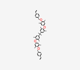 C=Cc1ccc(COc2c(C)cc(Oc3c(C)cc(C(C)(C)c4cc(C)c(Oc5cc(C)c(OCc6ccc(C=C)cc6)c(C)c5)c(C)c4)cc3C)cc2C)cc1